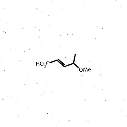 COC(C)C=CC(=O)O